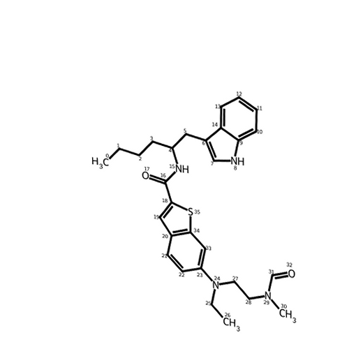 CCCCC(Cc1c[nH]c2ccccc12)NC(=O)c1cc2ccc(N(CC)CCN(C)C=O)cc2s1